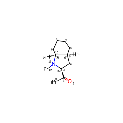 CC(C)C(=O)[C@@H]1C[C@@H]2CCCC[C@@H]2N1C(C)C